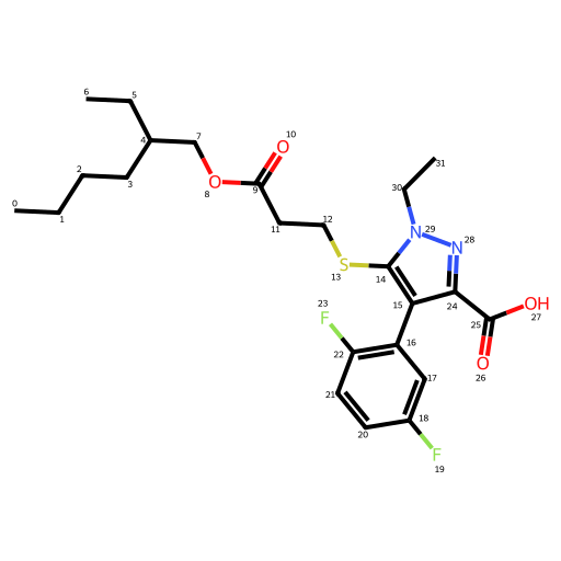 CCCCC(CC)COC(=O)CCSc1c(-c2cc(F)ccc2F)c(C(=O)O)nn1CC